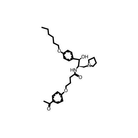 CCCCCCOc1ccc([C@@H](O)[C@@H](CN2CCCC2)NC(=O)CCCOc2ccc(C(C)=O)cc2)cc1